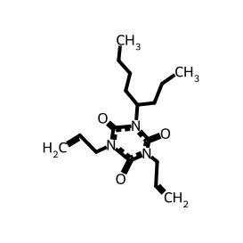 C=CCn1c(=O)n(CC=C)c(=O)n(C(CCC)CCCC)c1=O